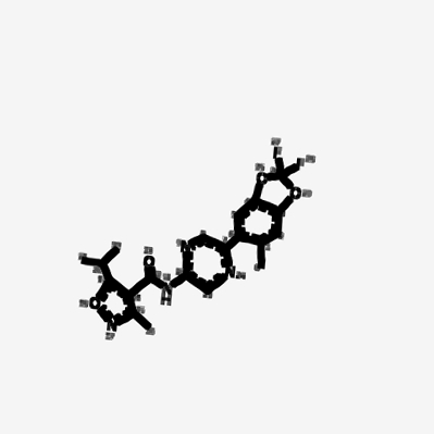 Cc1cc2c(cc1-c1cnc(NC(=O)c3c(C)noc3C(C)C)cn1)OC(F)(F)O2